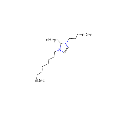 CCCCCCCCCCCCCCCCCN1C=CN(CCCCCCCCCCCCC)C1CCCCCCC